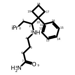 CC(C)CC(NCCCC(N)=O)C1(c2ccccc2)CCC1